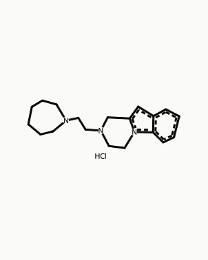 Cl.c1ccc2c(c1)cc1n2CCN(CCN2CCCCCC2)C1